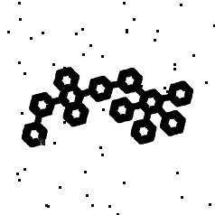 c1ccc(-c2cc(-c3cccc(-c4ccc(-c5c6ccccc6c(-c6cccc(-c7cccnc7)c6)c6ccccc56)cc4)c3)c(-c3ccccc3)c(-c3ccccc3)c2-c2ccccc2)cc1